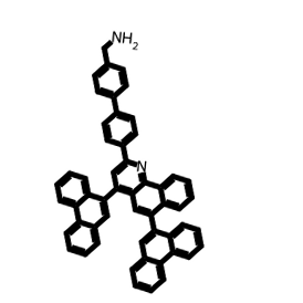 NCc1ccc(-c2ccc(-c3cc(-c4cc5ccccc5c5ccccc45)c4cc(-c5cc6ccccc6c6ccccc56)c5ccccc5c4n3)cc2)cc1